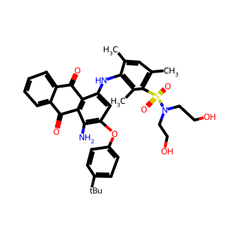 Cc1cc(C)c(S(=O)(=O)N(CCO)CCO)c(C)c1Nc1cc(Oc2ccc(C(C)(C)C)cc2)c(N)c2c1C(=O)c1ccccc1C2=O